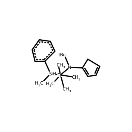 C[SiH](c1ccccc1)[Ti]([CH3])([CH3])([CH3])([CH3])[N](C1=CC=CC1)C(C)(C)C